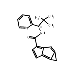 CC(C)(C)[C@H](NC(=O)C1=C2C=C3CC3=C2C=C1)c1ccccn1